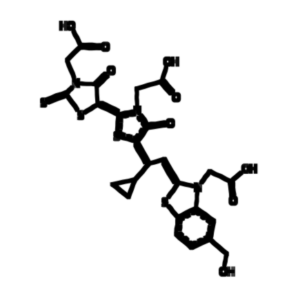 O=C(O)CN1C(=O)/C(=c2/s/c(=C(/C=C3\Sc4ccc(CO)cc4N3CC(=O)O)C3CC3)c(=O)n2CC(=O)O)SC1=S